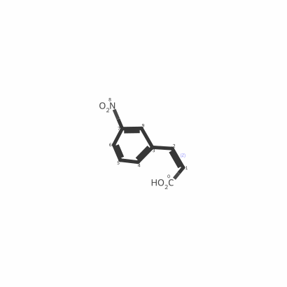 O=C(O)/C=C\c1cccc([N+](=O)[O-])c1